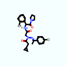 C/C(=N\N(CC(=O)NC(C(=O)N1CCCC1)c1ccccc1C(F)(F)F)C(=O)CC1CC1)c1ccc(Cl)cc1